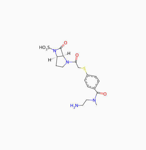 CN(CCN)C(=O)c1ccc(SCC(=O)N2CC[C@@H]3[C@H]2C(=O)N3S(=O)(=O)O)cc1